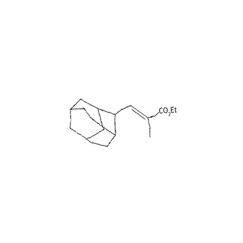 CCOC(=O)C(C)=CC1C2CC3CC(C2)CC1C3